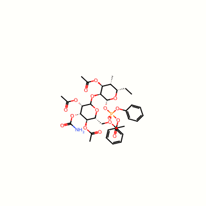 CC[C@@H]1O[C@H](OP(=O)(Oc2ccccc2)Oc2ccccc2)[C@@H](OC2O[C@H](COC(C)=O)[C@@H](OC(C)=O)[C@H](OC(N)=O)[C@@H]2OC(C)=O)[C@@H](OC(C)=O)[C@@H]1C